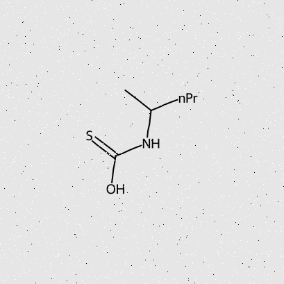 CCCC(C)NC(O)=S